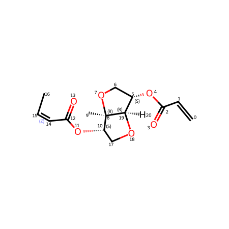 C=CC(=O)O[C@H]1CO[C@]2(C)[C@@H](OC(=O)/C=C\C)CO[C@H]12